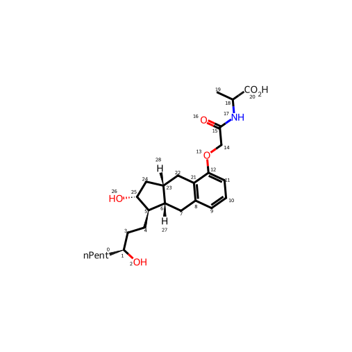 CCCCC[C@H](O)CC[C@@H]1[C@H]2Cc3cccc(OCC(=O)NC(C)C(=O)O)c3C[C@H]2C[C@H]1O